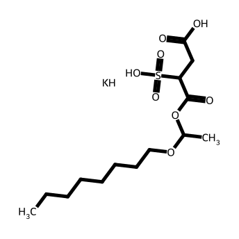 CCCCCCCCOC(C)OC(=O)C(CC(=O)O)S(=O)(=O)O.[KH]